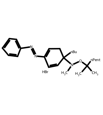 Br.CCCCCC(C)(C)ON(C)C1(CCCC)C=CC(N=Nc2ccccc2)=CC1